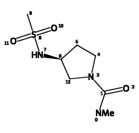 CNC(=O)N1CC[C@H](NS(C)(=O)=O)C1